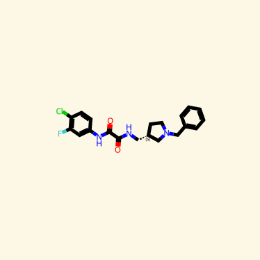 O=C(NC[C@@H]1CCN(Cc2ccccc2)C1)C(=O)Nc1ccc(Cl)c(F)c1